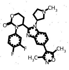 Cc1noc(C)c1-c1ccc2c(c1)nc(C1CCOC(=O)N1c1ccc(F)c(F)c1)n2[C@H]1CCN(C)C1